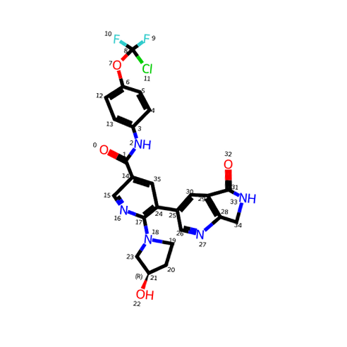 O=C(Nc1ccc(OC(F)(F)Cl)cc1)c1cnc(N2CC[C@@H](O)C2)c(-c2cnc3c(c2)C(=O)NC3)c1